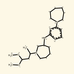 COC(CC(C)N1CCCCC(Nc2nccc(N3CCCCCC3)n2)C1)OC